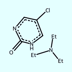 CCN(CC)CC.O=c1ncc(Cl)c[nH]1